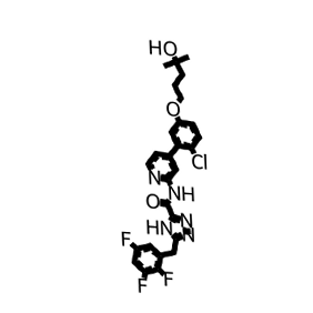 CC(C)(O)CCCOc1ccc(Cl)c(-c2ccnc(NC(=O)c3nnc(Cc4cc(F)cc(F)c4F)[nH]3)c2)c1